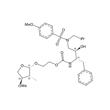 COc1ccc(S(=O)(=O)N(CC(C)C)C[C@@H](O)[C@H](Cc2ccccc2)NC(=O)OCCO[C@H]2OC[C@H](OC)[C@H]2C)cc1